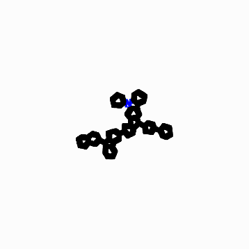 c1ccc(-c2ccc(C3c4ccc(-c5ccc6c(c5)-c5ccccc5C6c5ccc6ccccc6c5)cc4-c4cc5c(cc43)c3ccccc3n5-c3ccccc3)cc2)cc1